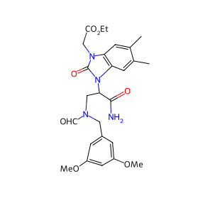 CCOC(=O)Cn1c(=O)n(C(CN(C=O)Cc2cc(OC)cc(OC)c2)C(N)=O)c2cc(C)c(C)cc21